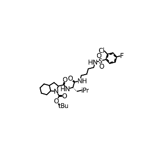 CC(C)C[C@H](NC(=O)C1CC2CCCCC2N1C(=O)OC(C)(C)C)C(=O)NCCCCNS(=O)(=O)c1ccc(F)cc1Cl